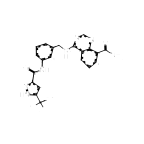 NC(=O)c1cccc2c(NCc3cccc(NC(=O)c4cc(C(F)(F)F)[nH]n4)c3)ncnc12